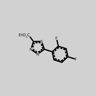 CCOC(=O)c1nnc(-c2ccc(F)cc2F)s1